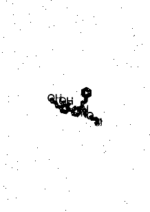 Cc1c(-c2ccc3c(c2)c(/C=C/c2ccccc2)nn3COCC[Si](C)(C)C)ccc(CCCO)c1O